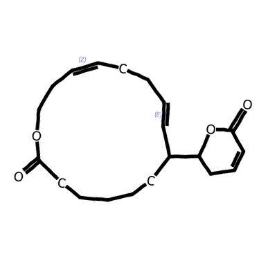 O=C1C=CCC(C2/C=C/CC/C=C\CCOC(=O)CCCCC2)O1